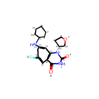 O=c1[nH]c(=O)n([C@@H]2CCOC2)c2cc(NC3CCCCC3)c(F)cc12